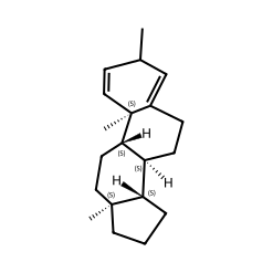 CC1C=C[C@@]2(C)C(=C1)CC[C@H]1[C@@H]3CCC[C@@]3(C)CC[C@@H]12